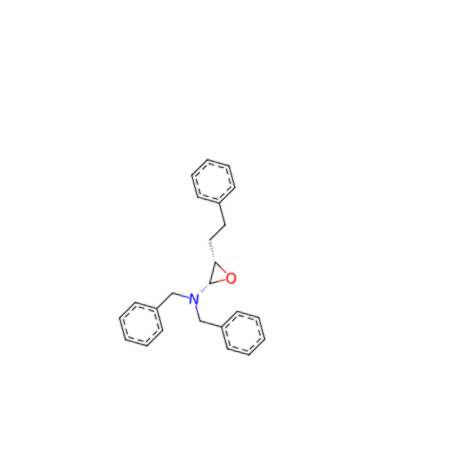 c1ccc(CC[C@@H]2O[C@@H]2N(Cc2ccccc2)Cc2ccccc2)cc1